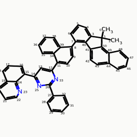 CC1(C)c2cccc(-c3ccc(-c4cc(-c5cccc6cccnc56)nc(-c5ccccc5)n4)c4ccccc34)c2-c2ccc3ccccc3c21